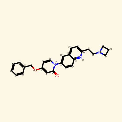 O=c1cc(OCc2ccccc2)ccn1-c1ccc2nc(CCN3CCC3)ccc2c1